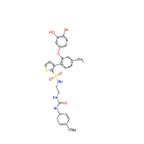 COC1=CCC(NC(=O)NCCNS(=O)(=O)c2sccc2-c2ccc(C)cc2Oc2ccc(O)c(O)c2)C=C1